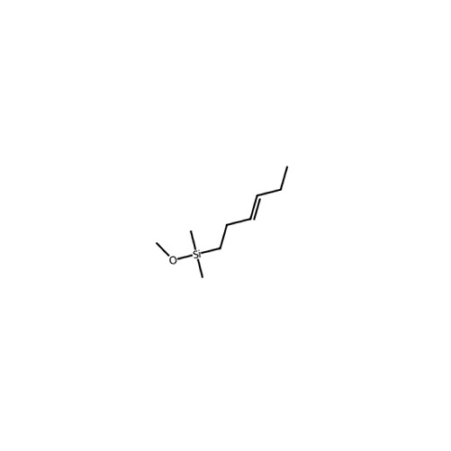 CCC=CCC[Si](C)(C)OC